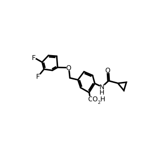 O=C(O)c1cc(COc2ccc(F)c(F)c2)ccc1NC(=O)C1CC1